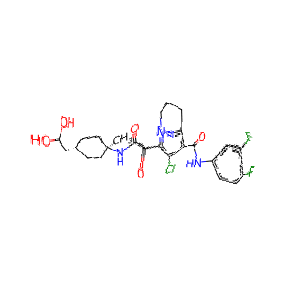 C[C@]1(NC(=O)C(=O)c2c(Cl)c(C(=O)Nc3ccc(F)c(F)c3)c3n2CCC3)CC[C@H](CC(O)O)CC1